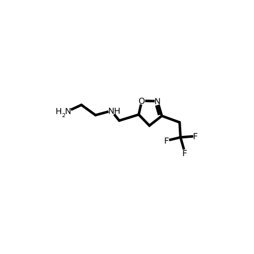 NCCNCC1CC(CC(F)(F)F)=NO1